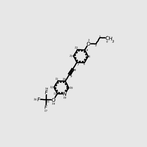 CCCOc1ccc(C#Cc2ccc(OC(F)(F)F)nc2)cc1